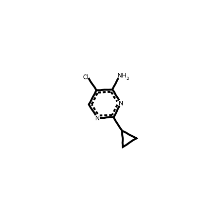 Nc1nc(C2CC2)ncc1Cl